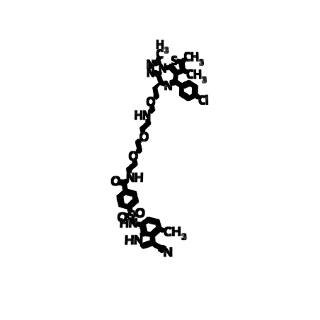 Cc1sc2c(c1C)C(c1ccc(Cl)cc1)=N[C@@H](CCOCNCCOCCOCCNC(=O)c1ccc(S(=O)(=O)Nc3ccc(C)c4c(C#N)c[nH]c34)cc1)c1nnc(C)n1-2